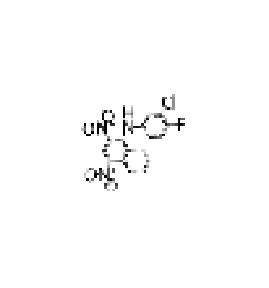 O=[N+]([O-])c1cc([N+](=O)[O-])c2ccccc2c1Nc1ccc(F)c(Cl)c1